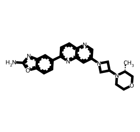 C[C@@H]1COCCN1C1CN(c2cnc3ccc(-c4ccc5oc(N)nc5c4)nc3c2)C1